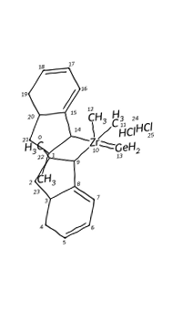 CC1CC2CC=CC=C2[CH]1[Zr]([CH3])([CH3])(=[GeH2])[CH]1C2=CC=CCC2CC1C.Cl.Cl